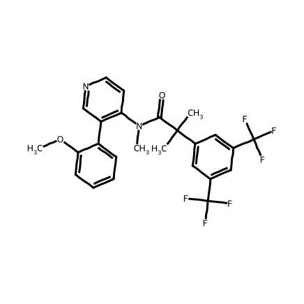 COc1ccccc1-c1cnccc1N(C)C(=O)C(C)(C)c1cc(C(F)(F)F)cc(C(F)(F)F)c1